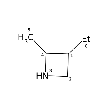 CCC1CNC1C